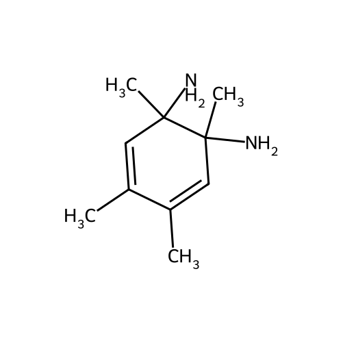 CC1=CC(C)(N)C(C)(N)C=C1C